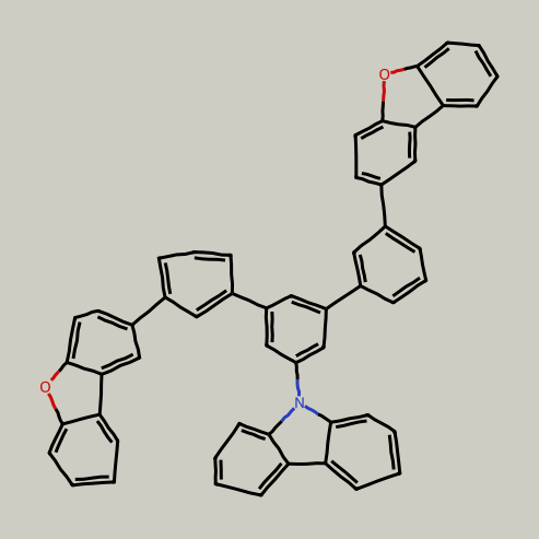 c1cc(-c2cc(-c3cccc(-c4ccc5oc6ccccc6c5c4)c3)cc(-n3c4ccccc4c4ccccc43)c2)cc(-c2ccc3oc4ccccc4c3c2)c1